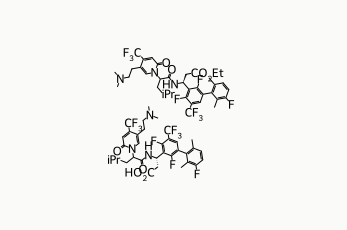 CCOC(=O)C[C@H](NC(=O)C(CC(C)C)n1cc(CCN(C)C)c(C(F)(F)F)cc1=O)c1c(F)c(-c2c(C)ccc(F)c2C)cc(C(F)(F)F)c1F.Cc1ccc(F)c(C)c1-c1cc(C(F)(F)F)c(F)c([C@H](CC(=O)O)NC(=O)C(CC(C)C)n2cc(CCN(C)C)c(C(F)(F)F)cc2=O)c1F